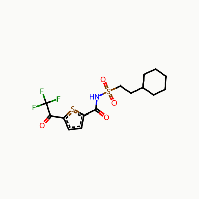 O=C(NS(=O)(=O)CCC1CCCCC1)c1ccc(C(=O)C(F)(F)F)s1